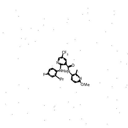 COc1ccc(NC(=O)c2cc(C(F)(F)F)cnc2Nc2ccc(F)cc2C(C)C)c(C)n1